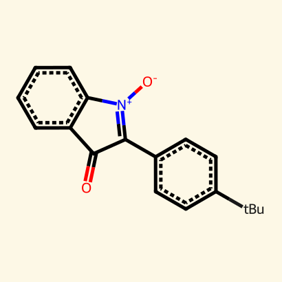 CC(C)(C)c1ccc(C2=[N+]([O-])c3ccccc3C2=O)cc1